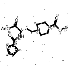 COC(=O)[C@H](CCN1CCN(C(=O)OC(C)(C)C)CC1)NC(=O)c1ccco1